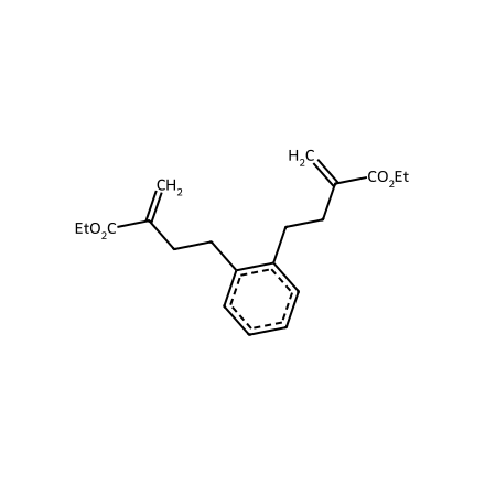 C=C(CCc1ccccc1CCC(=C)C(=O)OCC)C(=O)OCC